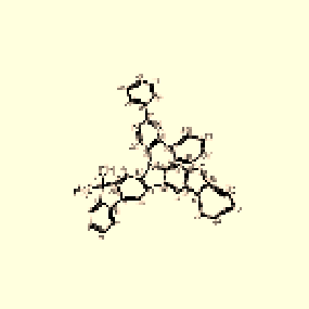 CC1(C)c2ccccc2-c2cc3c4cc5c(cc4n(-c4cnc(-c6ccccc6)nc4-c4ccccc4)c3cc21)sc1ccccc15